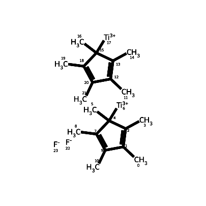 CC1=C(C)[C](C)([Ti+3])C(C)=C1C.CC1=C(C)[C](C)([Ti+3])C(C)=C1C.[F-].[F-]